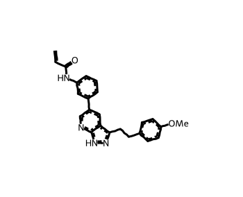 C=CC(=O)Nc1cccc(-c2cnc3[nH]nc(CCc4ccc(OC)cc4)c3c2)c1